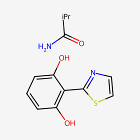 CC(C)C(N)=O.Oc1cccc(O)c1-c1nccs1